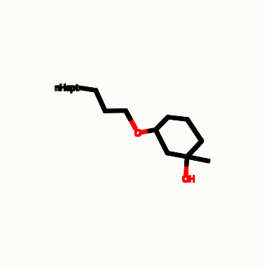 CCCCCCCCCCOC1CCCC(C)(O)C1